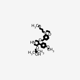 COCCCN1CCOc2ccc(CO[C@H]3CNC[C@@H](OCC(C)(C)O)C3c3ccc(OC)cc3)cc21